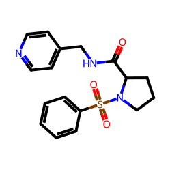 O=C(NCc1ccncc1)C1CCCN1S(=O)(=O)c1ccccc1